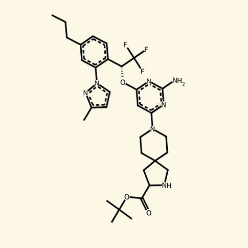 CCCc1ccc([C@@H](Oc2cc(N3CCC4(CC3)CNC(C(=O)OC(C)(C)C)C4)nc(N)n2)C(F)(F)F)c(-n2ccc(C)n2)c1